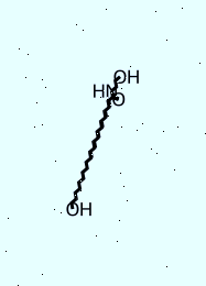 O=C(C=CC=CC=CC=CC=CC=CCCCCCCCCCO)NCCO